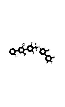 Fc1ccccc1-c1cc(F)c(-c2cc(F)c(C(F)(F)Oc3ccc(-c4cc(F)c(F)c(F)c4)c(F)c3)c(F)c2)c(Cl)c1